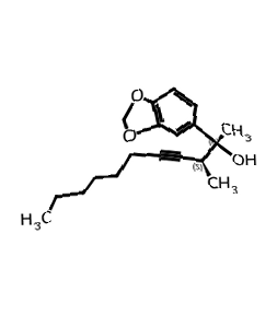 CCCCCCC#C[C@H](C)[C@@](C)(O)c1ccc2c(c1)OCO2